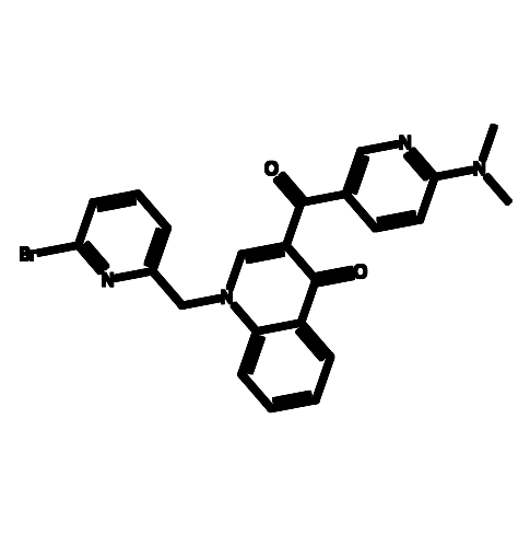 CN(C)c1ccc(C(=O)c2cn(Cc3cccc(Br)n3)c3ccccc3c2=O)cn1